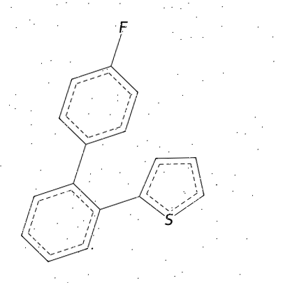 Fc1ccc(-c2ccc[c]c2-c2cccs2)cc1